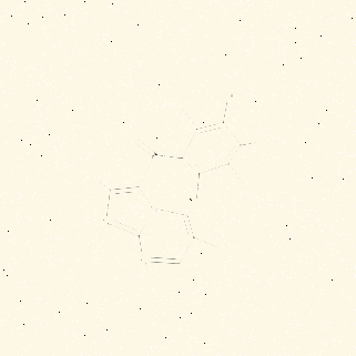 CCc1nc2ncc(C(F)(F)F)cn2c1C(=O)c1c(F)c(Br)c(O)c(Br)c1F